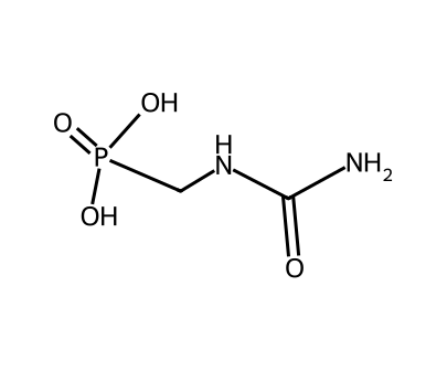 NC(=O)NCP(=O)(O)O